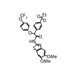 CCS(=O)(=O)c1ccc(C(Oc2ccc(OC(F)(F)F)cc2)C(=O)Nc2nc3cc(OC)c(OC)cc3s2)cc1